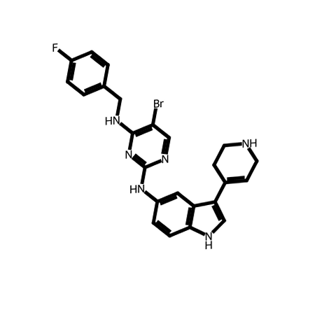 Fc1ccc(CNc2nc(Nc3ccc4[nH]cc(C5=CCNCC5)c4c3)ncc2Br)cc1